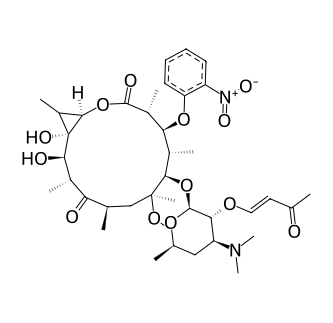 CO[C@@]1(C)C[C@@H](C)C(=O)[C@H](C)[C@@H](O)[C@@]2(O)C(C)[C@H]2OC(=O)[C@H](C)[C@@H](Oc2ccccc2[N+](=O)[O-])[C@H](C)[C@H]1O[C@@H]1O[C@H](C)C[C@H](N(C)C)[C@H]1O/C=C/C(C)=O